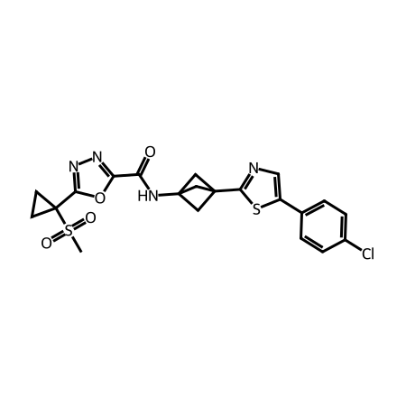 CS(=O)(=O)C1(c2nnc(C(=O)NC34CC(c5ncc(-c6ccc(Cl)cc6)s5)(C3)C4)o2)CC1